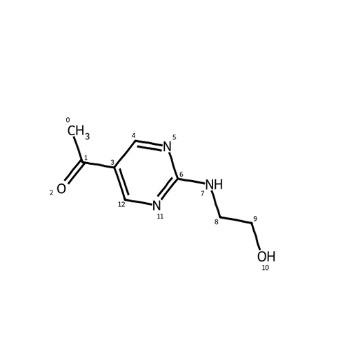 CC(=O)c1cnc(NCCO)nc1